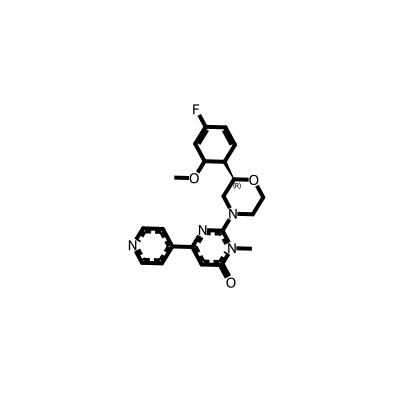 COC1C=C(F)C=CC1[C@@H]1CN(c2nc(-c3ccncc3)cc(=O)n2C)CCO1